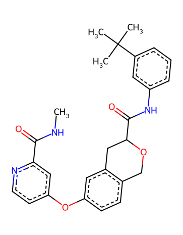 CNC(=O)c1cc(Oc2ccc3c(c2)CC(C(=O)Nc2cccc(C(C)(C)C)c2)OC3)ccn1